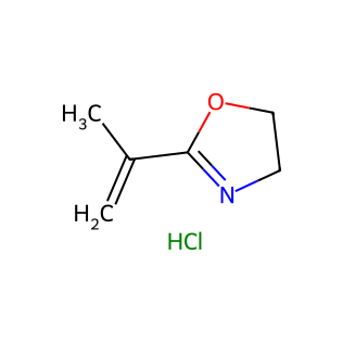 C=C(C)C1=NCCO1.Cl